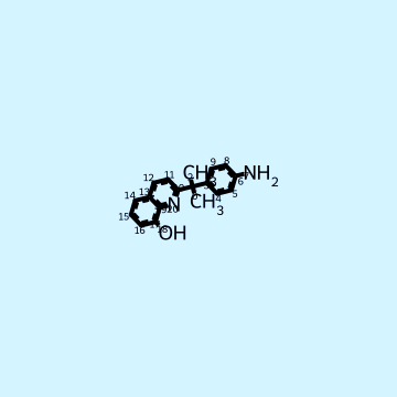 CC(C)(c1ccc(N)cc1)c1ccc2cccc(O)c2n1